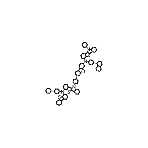 c1ccc(-c2ccc(N(c3cccc4c3sc3ccccc34)c3cccc4c3sc3c5ccccc5n(-c5ccc(-c6ccc7c(c6)oc6cc(N(c8ccc(-c9cccc%10ccccc9%10)cc8)c8cccc9c8sc8c%10ccccc%10n(-c%10ccccc%10)c98)ccc67)cc5)c43)cc2)cc1